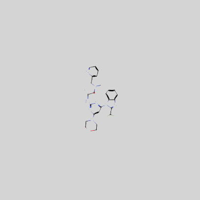 C[C@H](Nc1nc(N2CCOCC2)cc(-n2c(C(F)F)nc3ccccc32)n1)C(=O)N(C)Cc1ccccn1